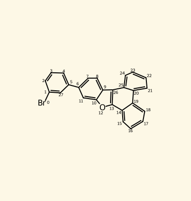 Brc1cccc(-c2ccc3c(c2)oc2c4ccccc4c4ccccc4c32)c1